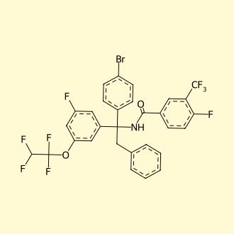 O=C(NC(Cc1ccccc1)(c1ccc(Br)cc1)c1cc(F)cc(OC(F)(F)C(F)F)c1)c1ccc(F)c(C(F)(F)F)c1